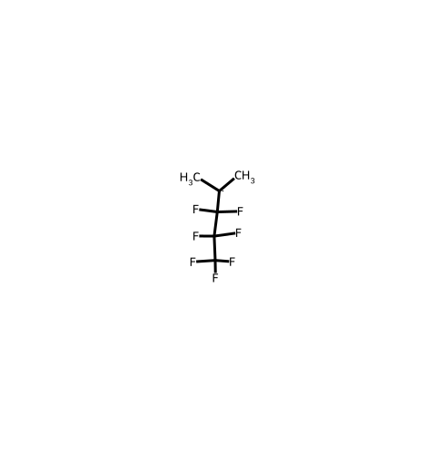 C[C](C)C(F)(F)C(F)(F)C(F)(F)F